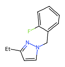 CCc1ccn(Cc2ccccc2F)n1